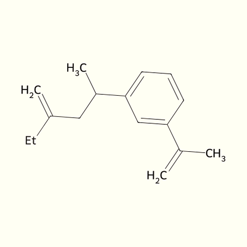 C=C(CC)CC(C)c1cccc(C(=C)C)c1